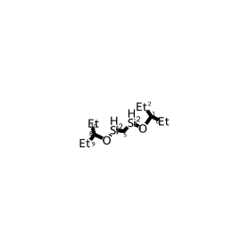 CCC(CC)O[SiH2]C[SiH2]OC(CC)CC